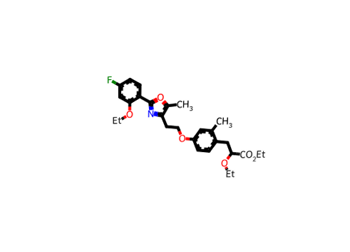 CCOC(=O)C(Cc1ccc(OCCc2nc(-c3ccc(F)cc3OCC)oc2C)cc1C)OCC